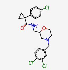 O=C(NCC1CN(Cc2ccc(Cl)c(Cl)c2)CCO1)C1(c2ccc(Cl)cc2)CC1